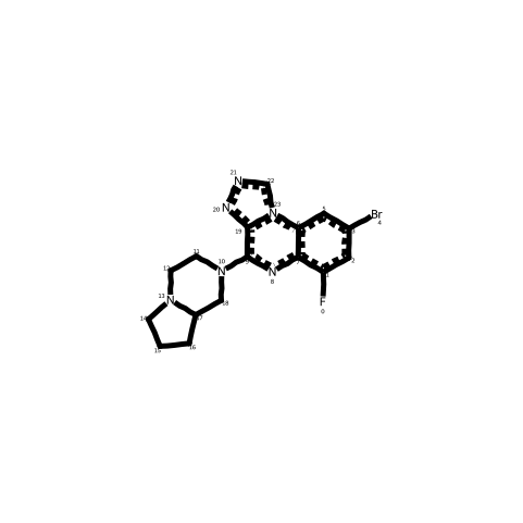 Fc1cc(Br)cc2c1nc(N1CCN3CCCC3C1)c1nncn12